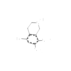 CC(=O)Nc1c([N+](=O)[O-])cc(Br)c2c1CN(C)CC2